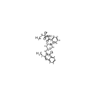 CCc1nc2ccccc2c(=O)n1CC1CCN(c2ccccc2C(=O)NS(=O)(=O)CC)CC1